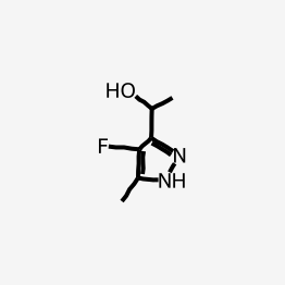 Cc1[nH]nc(C(C)O)c1F